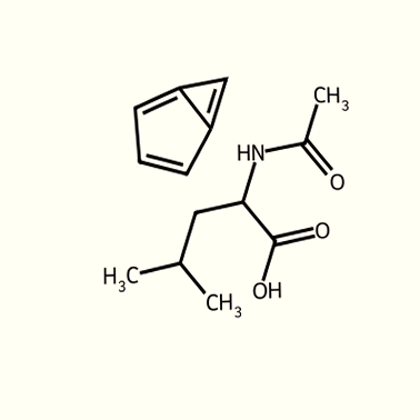 CC(=O)NC(CC(C)C)C(=O)O.c1cc2cc-2c1